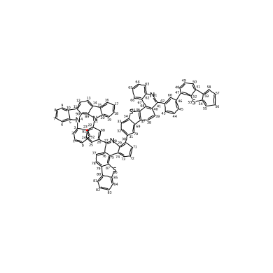 c1ccc(-n2c3ccccc3c3ccc4c5ccccc5n(-c5cccc(-c6nc7c(-c8ccc9sc%10c(ccc%11c(-c%12cccc(-c%13cccc%14c%13sc%13ccccc%13%14)c%12)nc%12ccccc%12c%11%10)c9c8)cccc7c7c6ccc6c8ccccc8sc67)c5)c4c32)cc1